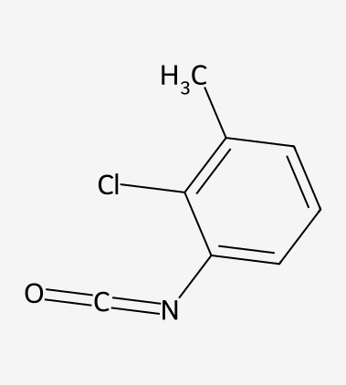 Cc1cccc(N=C=O)c1Cl